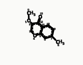 COc1coc2cc(C)ccc2c1=O